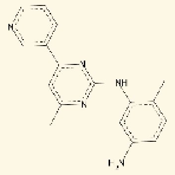 Cc1cc(-c2cccnc2)nc(Nc2cc(N)ccc2C)n1